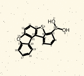 OB(O)c1cccc2c1sc1ccc3oc4ccccc4c3c12